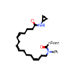 CCCCCC(=O)N(CC/C=C\CCC/C=C\C/C=C\CCCC(=O)NC1CC1)C(C)C